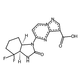 O=C(O)c1cnn2ccc(N3C(=O)N[C@@H]4[C@H]3CCCC4(F)F)nc12